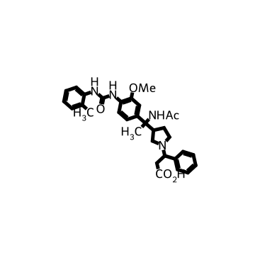 COc1cc(C(C)(NC(C)=O)C2CCN(C(CC(=O)O)c3ccccc3)C2)ccc1NC(=O)Nc1ccccc1C